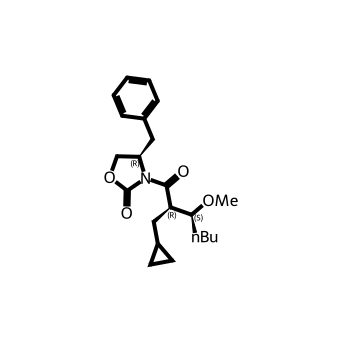 CCCC[C@H](OC)[C@@H](CC1CC1)C(=O)N1C(=O)OC[C@H]1Cc1ccccc1